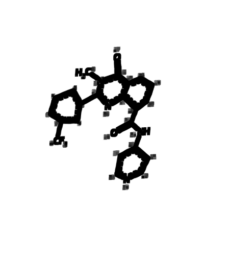 Cn1c(-c2cccc(C(F)(F)F)c2)nc2c(C(=O)Nc3ccncc3)cccc2c1=O